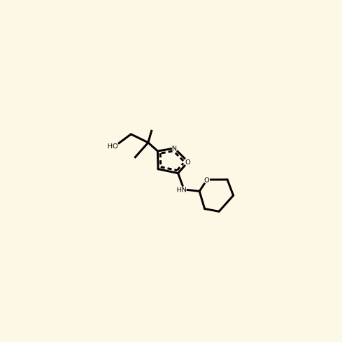 CC(C)(CO)c1cc(NC2CCCCO2)on1